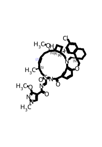 COc1nn(C)cc1C(=O)N=CS1(=O)=NC(=O)c2ccc3c(c2)N(C[C@@H]2CC[C@H]2[C@@H](OC)C/C=C\[C@H](C)C1)C[C@@]1(CCCc2cc(Cl)ccc21)CO3